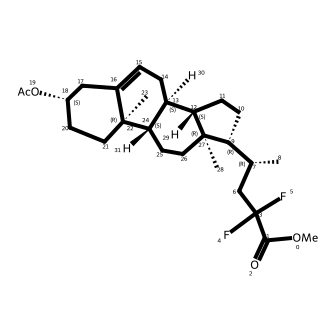 COC(=O)C(F)(F)C[C@@H](C)[C@H]1CC[C@H]2[C@@H]3CC=C4C[C@@H](OC(C)=O)CC[C@]4(C)[C@H]3CC[C@]12C